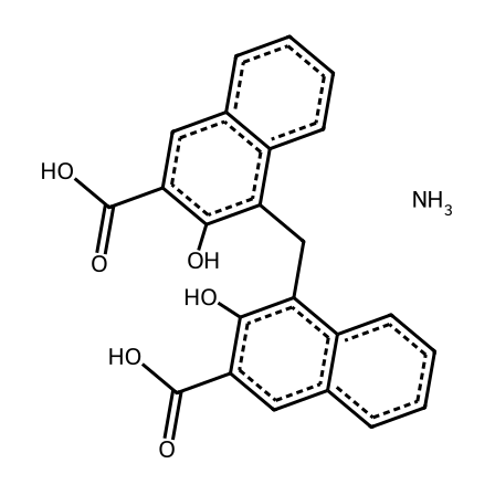 N.O=C(O)c1cc2ccccc2c(Cc2c(O)c(C(=O)O)cc3ccccc23)c1O